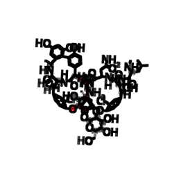 CN[C@H](CC(C)C)C(=O)N[C@H]1C(=O)NC(CC(N)=O)C(=O)N[C@H]2C(=O)N[C@H]3C(=O)N[C@H](C(=O)N[C@@H](C)c4cc(O)cc(O)c4-c4cc3ccc4O)[C@H](O)c3ccc(c(Cl)c3)Oc3cc2cc(c3O[C@@H]2O[C@@H](CO)[C@@H](O)[C@H](O)[C@@H]2O[C@@H]2C[C@](C)(N)[C@H](O)[C@@H](C)O2)Oc2ccc(cc2Cl)[C@H]1O